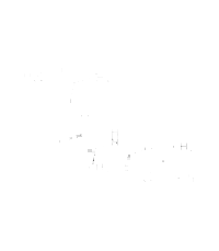 COC(C)COC(=O)[C@H](C)NC(=O)OC(C)(C)C